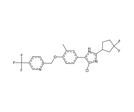 Cc1cc(-c2[nH]c(C3CCC(F)(F)C3)nc2Cl)ccc1OCc1ccc(C(F)(F)F)cn1